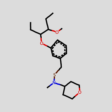 CCC(OC)C(CC)Oc1cccc(CSN(C)C2CCOCC2)c1